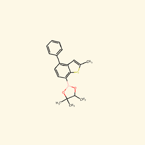 Cc1cc2c(-c3ccccc3)ccc(B3OC(C)C(C)(C)O3)c2s1